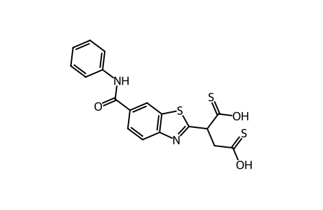 O=C(Nc1ccccc1)c1ccc2nc(C(CC(O)=S)C(O)=S)sc2c1